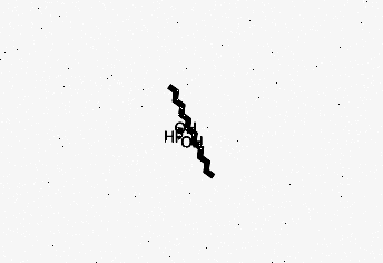 CCCCCCCCCCCCCC.OPO